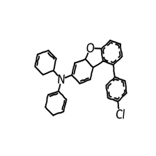 Clc1ccc(-c2cccc3c2C2C=CC(N(C4=CCCC=C4)C4C=CC=CC4)=CC2O3)cc1